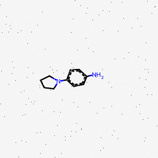 Nc1c[c]c(N2CCCC2)cc1